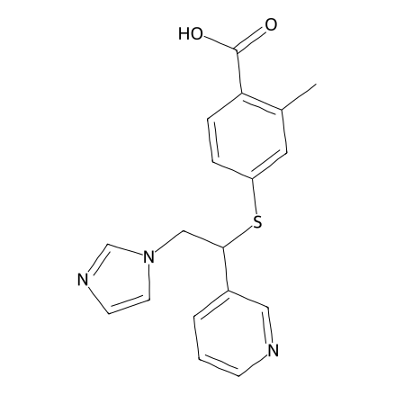 Cc1cc(SC(Cn2ccnc2)c2cccnc2)ccc1C(=O)O